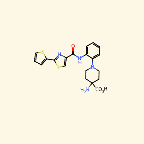 NC1(C(=O)O)CCN(c2ccccc2NC(=O)c2csc(-c3cccs3)n2)CC1